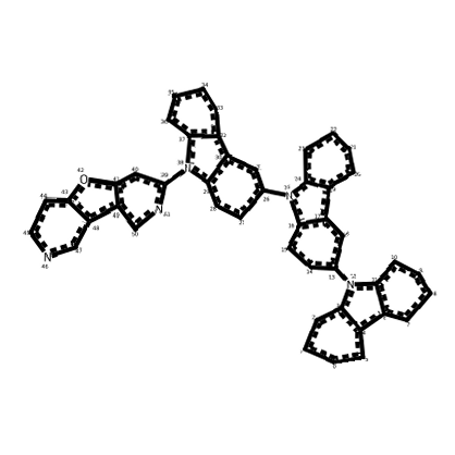 c1ccc2c(c1)c1ccccc1n2-c1ccc2c(c1)c1ccccc1n2-c1ccc2c(c1)c1ccccc1n2-c1cc2oc3ccncc3c2cn1